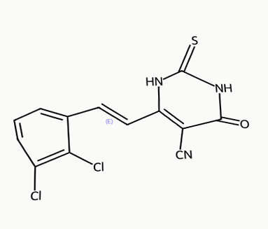 N#Cc1c(/C=C/c2cccc(Cl)c2Cl)[nH]c(=S)[nH]c1=O